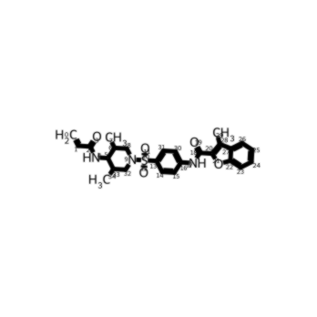 C=CC(=O)NC1C(C)CN(S(=O)(=O)c2ccc(NC(=O)c3oc4ccccc4c3C)cc2)CC1C